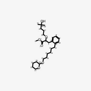 COC(=O)C(Cc1ccccc1CCCCCCOC1CCCCO1)OCCCC(C)(C)O